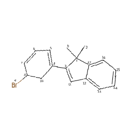 CC1(C)C(C2=CC=CC(Br)C2)=Cc2ccccc21